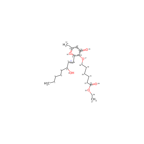 CCCCCC(O)/C=C/c1oc(C)cc(=O)c1OCCCCCC(=O)OCC